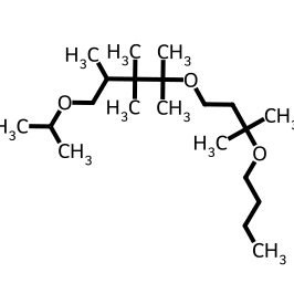 CCCCOC(C)(C)CCOC(C)(C)C(C)(C)C(C)COC(C)C